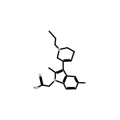 CCCN1CCC=C(c2c(C)n(CC(=O)O)c3ccc(F)cc23)C1